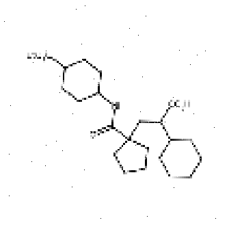 CCOC(=O)C1CCC(NC(=O)C2(CC(C(=O)O)C3CCCCC3)CCCC2)CC1